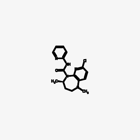 C[C@@H]1CCN(C)c2ccc(Cl)nc2N1C(=O)Nc1ccccn1